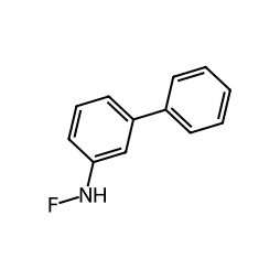 FNc1cccc(-c2ccccc2)c1